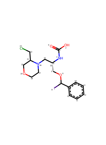 O=C(O)N[C@H](COC(I)c1ccccc1)CN1CCOCC1CCl